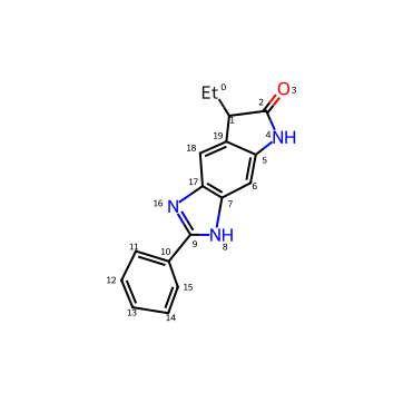 CCC1C(=O)Nc2cc3[nH]c(-c4ccccc4)nc3cc21